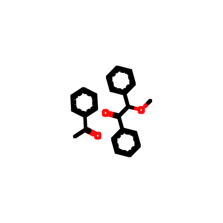 CC(=O)c1ccccc1.COC(C(=O)c1ccccc1)c1ccccc1